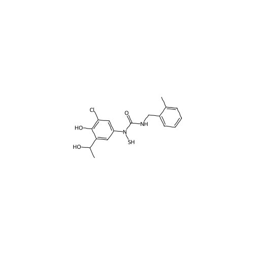 Cc1ccccc1CNC(=O)N(S)c1cc(Cl)c(O)c(C(C)O)c1